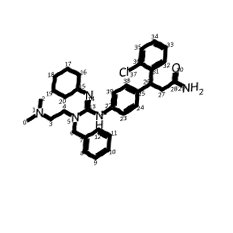 CN(C)CCN(Cc1ccccc1)/C(=N\C1CCCCC1)Nc1ccc(C(CC(N)=O)c2ccccc2Cl)cc1